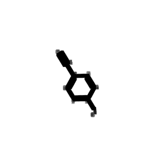 C#Cc1ccc(I)cc1